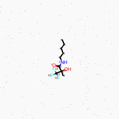 CCCCCNC(=O)C(C)(O)C(F)(F)F